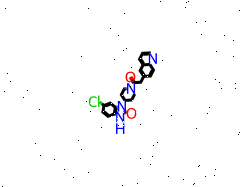 O=C(Cc1ccc2ncccc2c1)N1CCC(n2c(=O)[nH]c3ccc(Cl)cc32)CC1